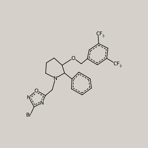 FC(F)(F)c1cc(COC2CCCN(Cc3nc(Br)no3)C2c2ccccc2)cc(C(F)(F)F)c1